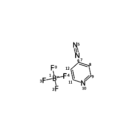 F[B-](F)(F)F.N#N.c1ccncc1